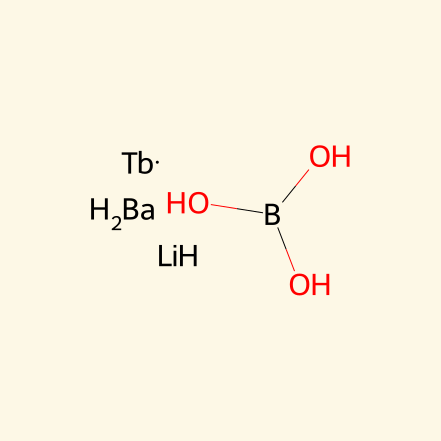 OB(O)O.[BaH2].[LiH].[Tb]